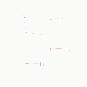 CC1CNCC1C(=O)N(C)C